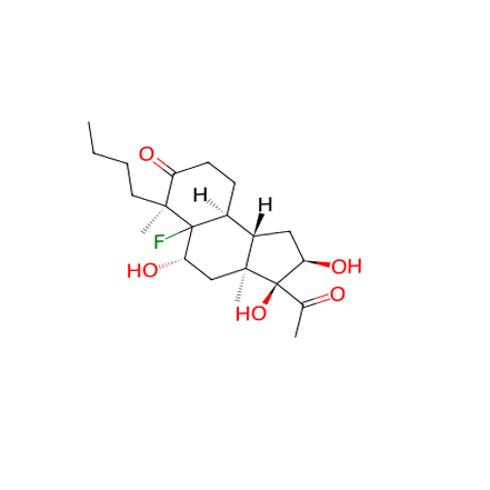 CCCC[C@@]1(C)C(=O)CC[C@H]2[C@@H]3C[C@@H](O)[C@](O)(C(C)=O)[C@@]3(C)C[C@H](O)C21F